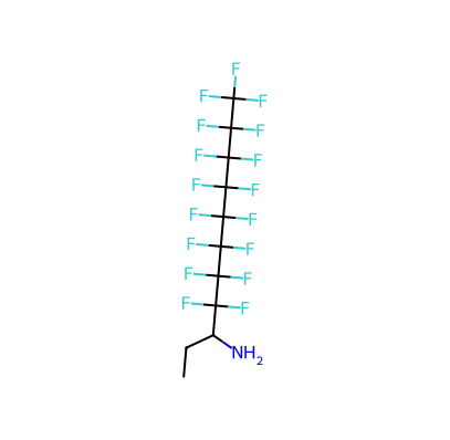 CCC(N)C(F)(F)C(F)(F)C(F)(F)C(F)(F)C(F)(F)C(F)(F)C(F)(F)C(F)(F)F